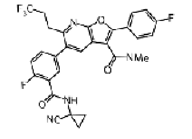 CNC(=O)c1c(-c2ccc(F)cc2)oc2nc(CCC(F)(F)F)c(-c3ccc(F)c(C(=O)NC4(C#N)CC4)c3)cc12